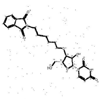 O=C1c2ccccc2C(=O)N1CCCCCCOC1C(O)[C@H](n2ccc(=O)[nH]c2=O)O[C@@H]1CO